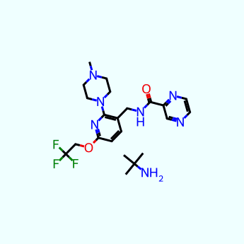 CC(C)(C)N.CN1CCN(c2nc(OCC(F)(F)F)ccc2CNC(=O)c2cnccn2)CC1